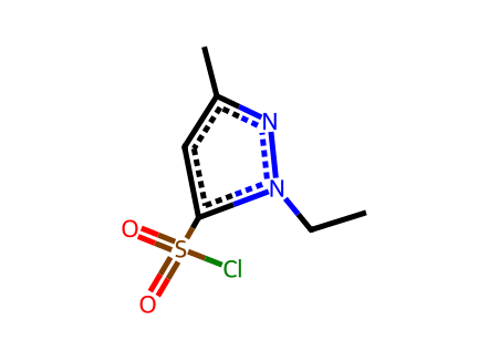 CCn1nc(C)cc1S(=O)(=O)Cl